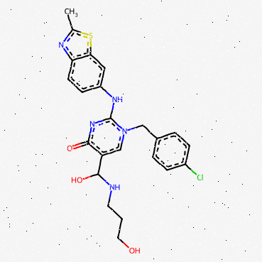 Cc1nc2ccc(Nc3nc(=O)c(C(O)NCCCO)cn3Cc3ccc(Cl)cc3)cc2s1